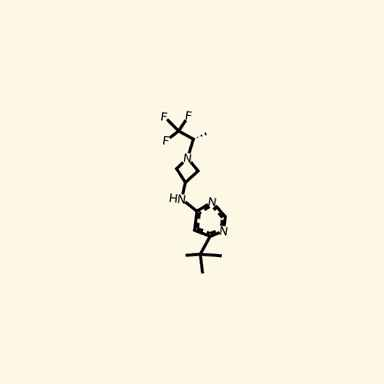 C[C@H](N1CC(Nc2cc(C(C)(C)C)ncn2)C1)C(F)(F)F